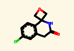 O=C1Cc2cc(Cl)ccc2C2(COC2)N1